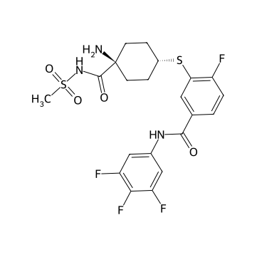 CS(=O)(=O)NC(=O)[C@]1(N)CC[C@H](Sc2cc(C(=O)Nc3cc(F)c(F)c(F)c3)ccc2F)CC1